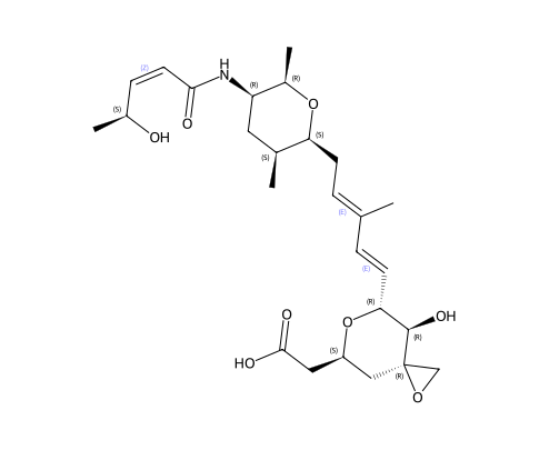 CC(/C=C/[C@H]1O[C@H](CC(=O)O)C[C@@]2(CO2)[C@@H]1O)=C\C[C@@H]1O[C@H](C)[C@H](NC(=O)/C=C\[C@H](C)O)C[C@@H]1C